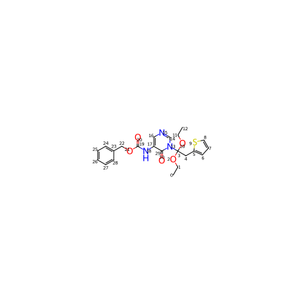 CCOC(Cc1cccs1)(OCC)n1cncc(NC(=O)OCc2ccccc2)c1=O